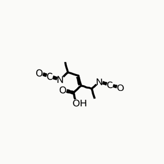 CC(/C=C(\C(=O)O)C(C)N=C=O)N=C=O